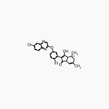 CCc1ccc(Oc2cnc3cc(Cl)ccc3n2)cc1C1=C(O)C2C(C=C(C)C[C@@H]2C)C1=O